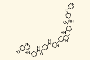 COc1ccc2nccc(Nc3cccc(NC(=O)c4ccc(Nc5ccnc(-c6ccc7c(Nc8cccc(C(=O)Nc9ccc(Oc%10ccncc%10)cc9)c8)c(C)cnc7c6)c5)cc4)c3)c2c1